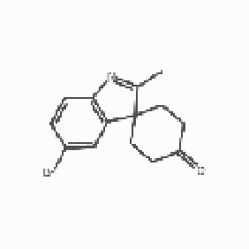 CC1=Nc2ccc(Br)cc2C12CCC(=O)CC2